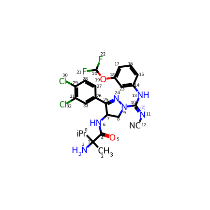 CC(C)C(C)(N)C(=O)NC1CN(/C(=N\C#N)Nc2cccc(OC(F)F)c2)N=C1c1ccc(Cl)c(Cl)c1